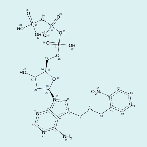 Nc1ncnc2c1c(COCc1ccccc1[N+](=O)[O-])cn2[C@H]1CC(O)[C@@H](COP(=O)(O)OP(=O)(O)OP(=O)(O)O)O1